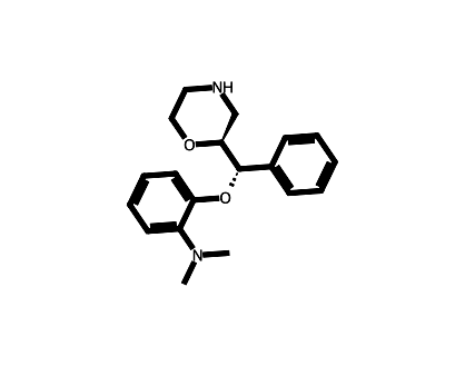 CN(C)c1ccccc1O[C@@H](c1ccccc1)[C@@H]1CNCCO1